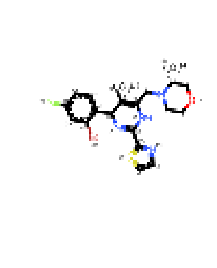 CCOC(=O)C1=C(CN2CCOC[C@H]2C(=O)O)NC(c2nccs2)=NC1c1ccc(F)cc1Br